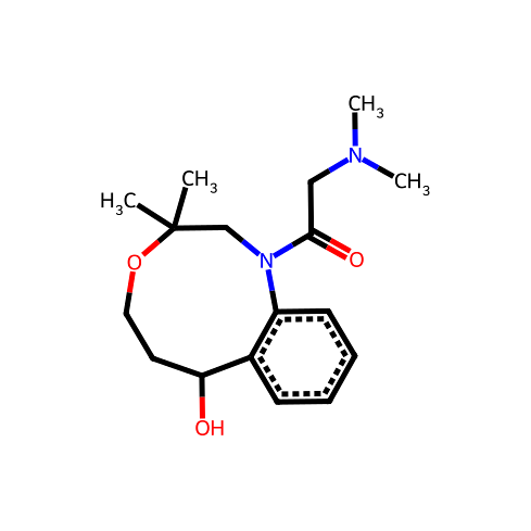 CN(C)CC(=O)N1CC(C)(C)OCCC(O)c2ccccc21